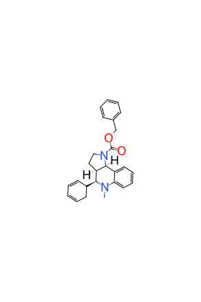 CN1c2ccccc2[C@H]2[C@H](CCN2C(=O)OCc2ccccc2)[C@@H]1C1C=CC=CC1